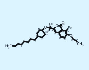 CCCCCCCCC1CCC(OC(F)(F)c2cc3ccc(OCCC)c(F)c3c(=O)o2)CC1